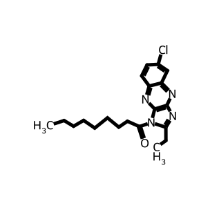 CCCCCCCCC(=O)n1c(CC)nc2nc3cc(Cl)ccc3nc21